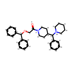 O=C(COC(c1ccccc1)c1ccccc1)N1CCC(C(c2ccccc2)N2CCCCC2)CC1